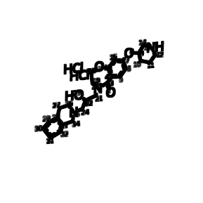 Cl.Cl.O=C1c2ccc(OC3CCCNC3)cc2OCCN1CC(O)CN1CCc2ccccc2C1